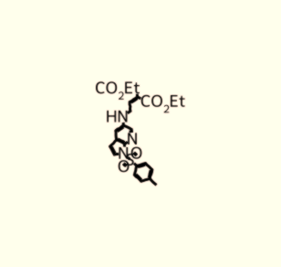 CCOC(=O)C(=CCNc1cnc2c(ccn2S(=O)(=O)c2ccc(C)cc2)c1)C(=O)OCC